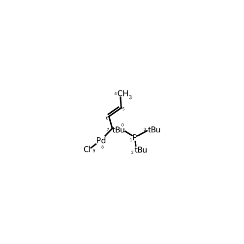 CC(C)(C)P(C(C)(C)C)C(C)(C)C.CC=C[CH2][Pd][Cl]